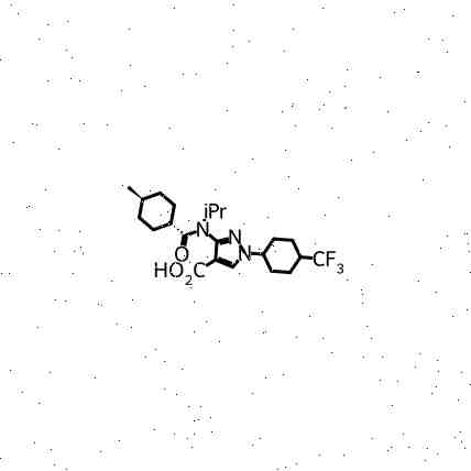 CC(C)N(c1nn(C2CCC(C(F)(F)F)CC2)cc1C(=O)O)C(=O)[C@H]1CC[C@H](C)CC1